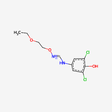 CCOCCO/N=C/Nc1cc(Cl)c(O)c(Cl)c1